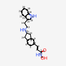 O=C(/C=C/c1ccc2c(c1)CC(NCCc1c[nH]c3ccccc13)C2)NO